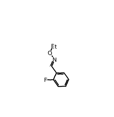 CCO/N=[C]/c1ccccc1F